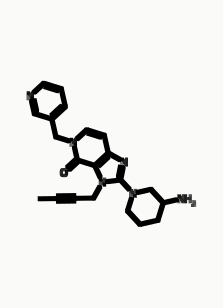 CC#CCn1c(N2CCCC(N)C2)nc2ccn(Cc3cccnc3)c(=O)c21